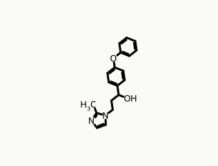 Cc1nccn1CCC(O)c1ccc(Oc2ccccc2)cc1